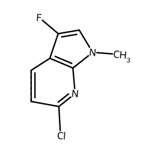 Cn1cc(F)c2ccc(Cl)nc21